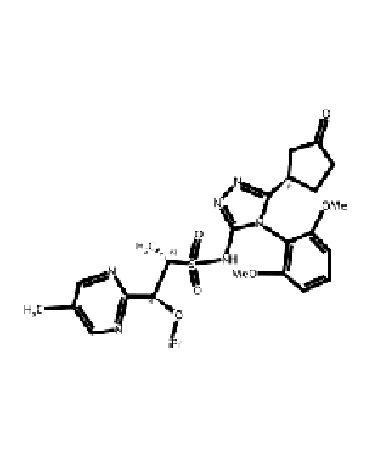 COc1cccc(OC)c1-n1c(NS(=O)(=O)[C@@H](C)[C@@H](OC(C)C)c2ncc(C)cn2)nnc1[C@@H]1CCC(=O)C1